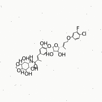 CC(=Cc1ccc(O[C@@H]2O[C@H](C(C)=CCOc3ccc(Cl)c(F)c3)[C@@H](O)[C@@H]2O)c(O)c1)C(=O)N[C@@H]1[C@H](O)[C@@H](O)[C@H]2OCO[C@H]2[C@@H]1O